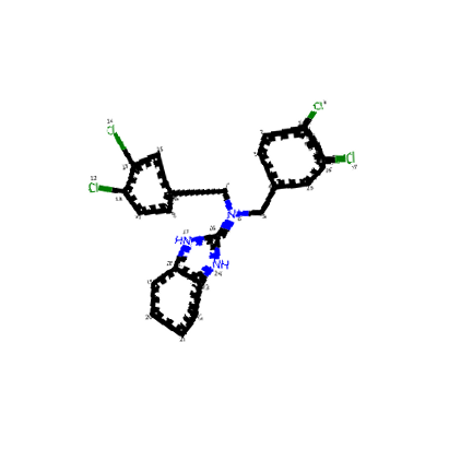 Clc1ccc(C[N+](Cc2ccc(Cl)c(Cl)c2)=c2[nH]c3ccccc3[nH]2)cc1Cl